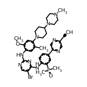 C#Cc1cnc(-c2ccc(Nc3nc(Nc4cc(C)c(N5CCC(N6CCN(C)CC6)CC5)cc4OC)ncc3Br)c(P(C)(C)=O)c2)cn1